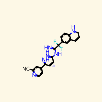 N#Cc1cc(C(=N)/C=C\C(=N)NC(=N)C(F)(F)c2ccc3c(c2)C=CCN3)ccn1